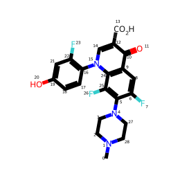 CN1CCN(c2c(F)cc3c(=O)c(C(=O)O)cn(-c4ccc(O)cc4F)c3c2F)CC1